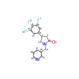 O=C1CC(c2cc(F)c(F)c(F)c2)CN1Cc1cccnc1